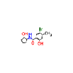 Cc1cc(O)c(C(=O)N[C@H]2CCC[C@@H]2O)cc1Br